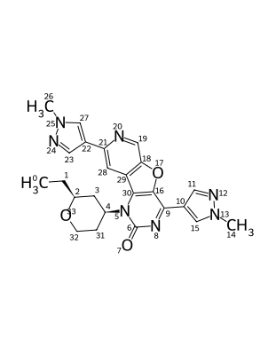 CC[C@H]1C[C@@H](n2c(=O)nc(-c3cnn(C)c3)c3oc4cnc(-c5cnn(C)c5)cc4c32)CCO1